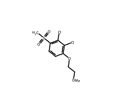 COCCOc1ccc(S(C)(=O)=O)c(Cl)c1Cl